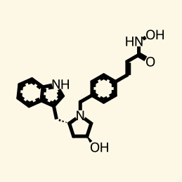 O=C(/C=C/c1ccc(CN2C[C@@H](O)C[C@@H]2Cc2c[nH]c3ccccc23)cc1)NO